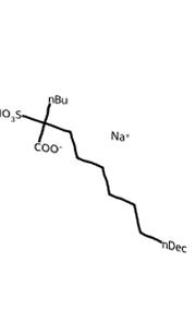 CCCCCCCCCCCCCCCCC(CCCC)(C(=O)[O-])S(=O)(=O)O.[Na+]